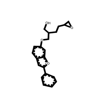 OCC(CCC1CO1)COc1ccc2cc(-c3ccccc3)oc2c1